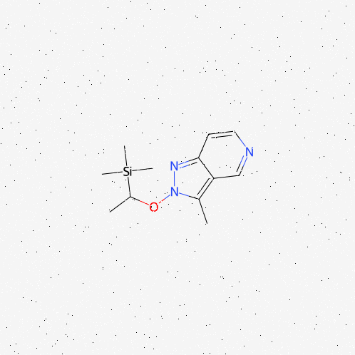 Cc1c2cnccc2nn1OC(C)[Si](C)(C)C